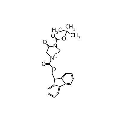 CC(C)(C)OC(=O)N1CCN(C(=O)OCC2c3ccccc3-c3ccccc32)CC1=O